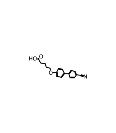 N#Cc1ccc(-c2ccc(OCCCCC(=O)O)cc2)cc1